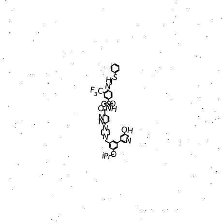 CC(C)Oc1cc(CN2CCN(c3ccc(C(=O)NS(=O)(=O)c4ccc(NCCSc5ccccc5)c(C(F)(F)F)c4)nn3)CC2)cc(-c2cncc(O)c2)c1